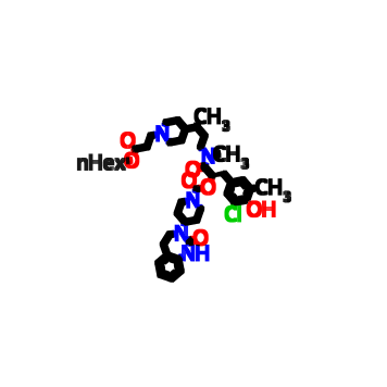 CCCCCCOC(=O)CCN1CCC(C(C)CCN(C)C(=O)[C@@H](Cc2cc(C)c(O)c(Cl)c2)OC(=O)N2CCC(N3CCc4ccccc4NC3=O)CC2)CC1